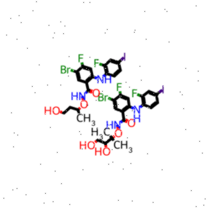 CC(C)(ONC(=O)c1cc(Br)c(F)cc1Nc1ccc(I)cc1F)C(O)CO.CC(CCO)ONC(=O)c1cc(Br)c(F)cc1Nc1ccc(I)cc1F